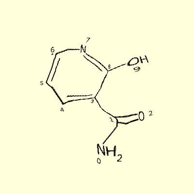 NC(=O)c1cc[c]nc1O